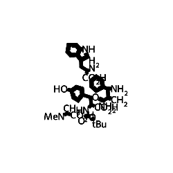 C=C(C(N)=O)C(N)c1ccccc1.CC(C)(C)OC(=O)NC(Cc1ccc(O)cc1)C(=O)O.CNC(C)C(=O)O.NC(Cc1c[nH]c2ccccc12)C(=O)O